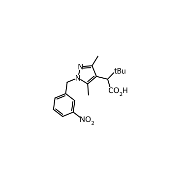 Cc1nn(Cc2cccc([N+](=O)[O-])c2)c(C)c1C(C(=O)O)C(C)(C)C